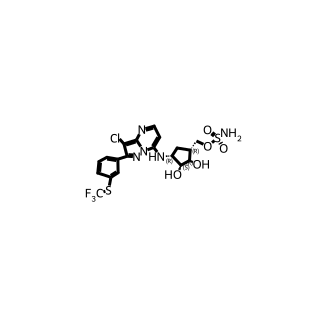 NS(=O)(=O)OC[C@H]1C[C@@H](Nc2ccnc3c(Cl)c(-c4cccc(SC(F)(F)F)c4)nn23)[C@H](O)[C@@H]1O